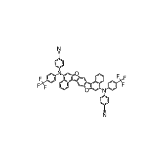 N#Cc1ccc(N(c2ccc(C(F)(F)F)cc2)c2cc3oc4cc5c(cc4c3c3ccccc23)oc2cc(N(c3ccc(C#N)cc3)c3ccc(C(F)(F)F)cc3)c3ccccc3c25)cc1